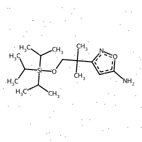 CC(C)[Si](OCC(C)(C)c1cc(N)on1)(C(C)C)C(C)C